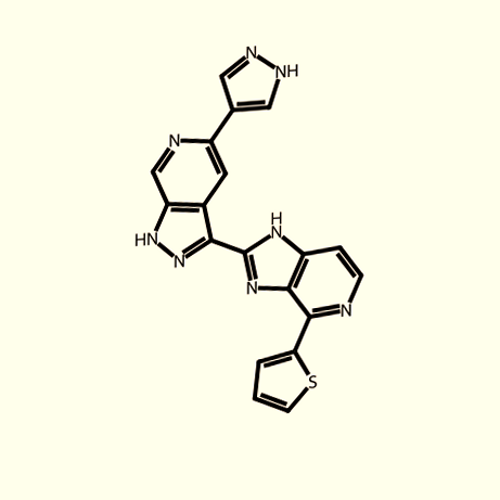 c1csc(-c2nccc3[nH]c(-c4n[nH]c5cnc(-c6cn[nH]c6)cc45)nc23)c1